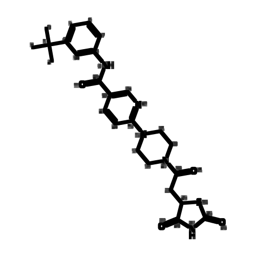 CC(C)(C)c1cccc(NC(=O)c2ccc(N3CCN(C(=O)CC4SC(=O)NC4=O)CC3)nc2)c1